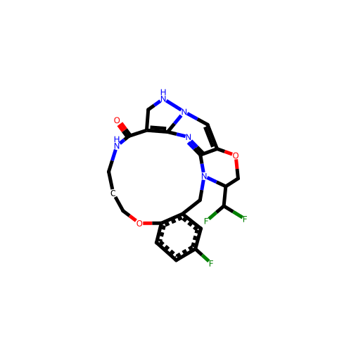 O=C1NCCCOc2ccc(F)cc2CN2C3=NC4=C1CNN4C=C3OCC2C(F)F